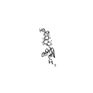 Cc1noc(-c2ccc3c(c2)CCc2cc(CC(=O)O)ccc2-3)c1OC=O